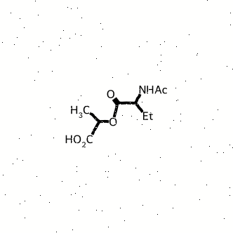 CCC(NC(C)=O)C(=O)OC(C)C(=O)O